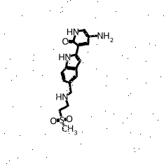 CS(=O)(=O)CCNCc1ccc2[nH]c(-c3cc(N)c[nH]c3=O)cc2c1